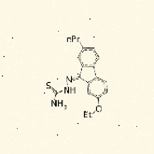 CCCc1ccc2c(c1)/C(=N/NC(N)=S)c1cc(OCC)ccc1-2